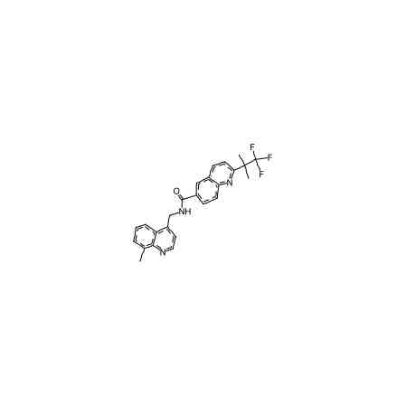 Cc1cccc2c(CNC(=O)c3ccc4nc(C(C)(C)C(F)(F)F)ccc4c3)ccnc12